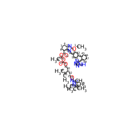 CCOc1nc2cccc(C(=O)OC(C)OC(=O)OCCC(CCO/N=[N+](\C)N(C)C(C)(C)C)C(C)C)c2n1Cc1ccc(-c2ccccc2-c2nnn[nH]2)cc1